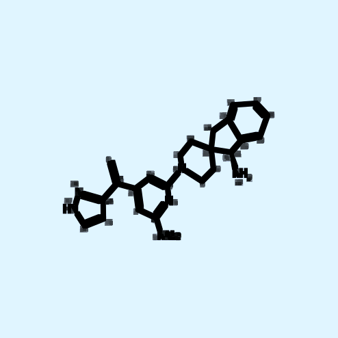 C=C(c1cc(NC)nc(N2CCC3(CC2)Cc2ccccc2[C@H]3N)c1)c1cc[nH]n1